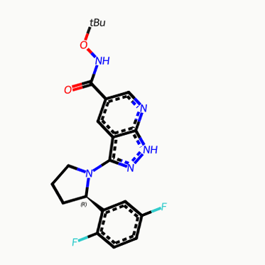 CC(C)(C)ONC(=O)c1cnc2[nH]nc(N3CCC[C@@H]3c3cc(F)ccc3F)c2c1